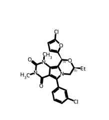 CC[C@H]1Cn2c(-c3cccc(Cl)c3)c3c(=O)n(C)c(=O)n(C)c3c2[C@@H](c2ccc(Cl)o2)O1